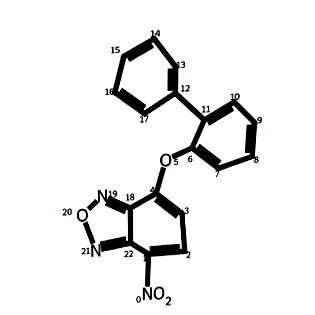 O=[N+]([O-])c1ccc(Oc2ccccc2-c2ccccc2)c2nonc12